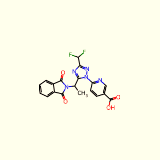 CC(c1nc(C(F)F)nn1-c1ccc(C(=O)O)cn1)N1C(=O)c2ccccc2C1=O